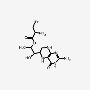 CC(C)CC(N)C(=O)OC(C)C(O)C1CNc2nc(N)[nH]c(=O)c2N1